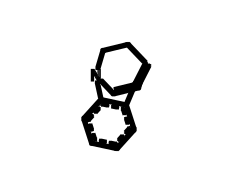 C1=CN2CCC1=Cc1ccccc12